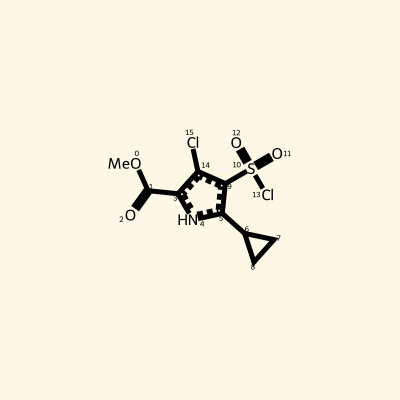 COC(=O)c1[nH]c(C2CC2)c(S(=O)(=O)Cl)c1Cl